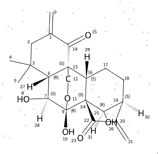 C=C1CC(C)(C)[C@H]2[C@H](O)[C@]3(O)OC[C@]2(C1=O)[C@@H]1CC[C@H]2C(=C)C(=O)[C@]13[C@@H]2O